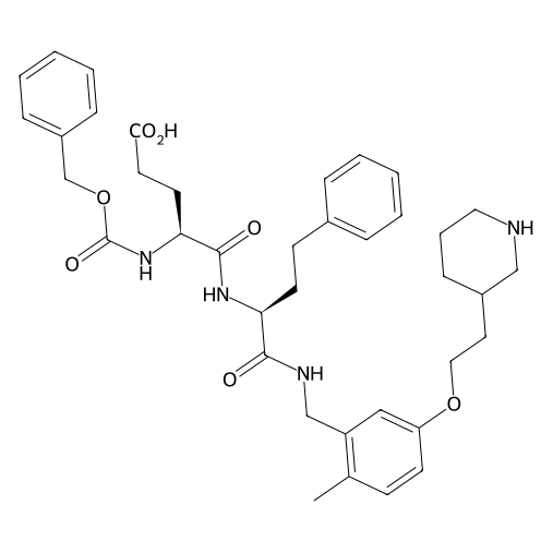 Cc1ccc(OCCC2CCCNC2)cc1CNC(=O)[C@H](CCc1ccccc1)NC(=O)[C@H](CCC(=O)O)NC(=O)OCc1ccccc1